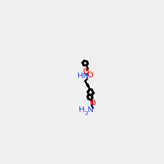 NCCOc1ccc2cc(C#CCCNC(=O)OCc3ccccc3)ccc2c1